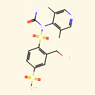 CNS(=O)(=O)c1ccc(S(=O)(=O)N(C(N)=O)c2c(C(C)C)cncc2C(C)C)c(CO)c1